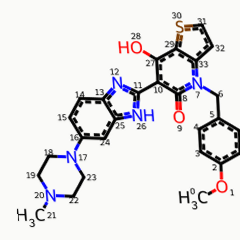 COc1ccc(Cn2c(=O)c(-c3nc4ccc(N5CCN(C)CC5)cc4[nH]3)c(O)c3sccc32)cc1